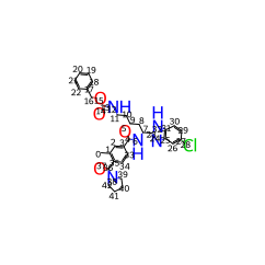 Cc1cc(C(=O)NC(CCCCNC(=O)OCc2ccccc2)c2nc3cc(Cl)ccc3[nH]2)ccc1C(=O)N1CCCC1